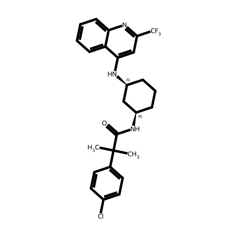 CC(C)(C(=O)N[C@@H]1CCC[C@H](Nc2cc(C(F)(F)F)nc3ccccc23)C1)c1ccc(Cl)cc1